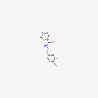 O=C(NCCc1ccc(Br)cc1)C1CCCCC1